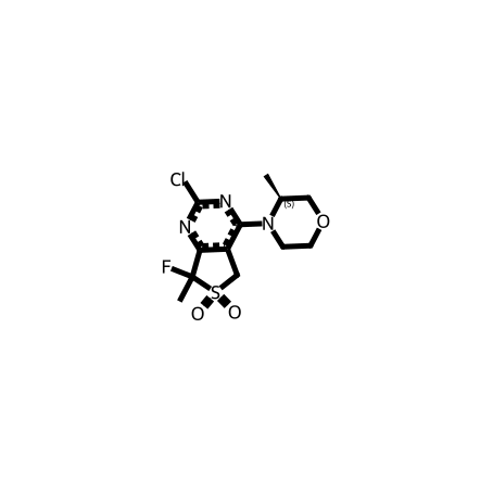 C[C@H]1COCCN1c1nc(Cl)nc2c1CS(=O)(=O)C2(C)F